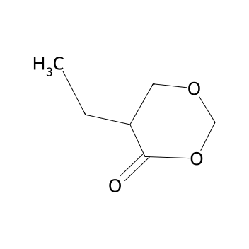 CCC1COCOC1=O